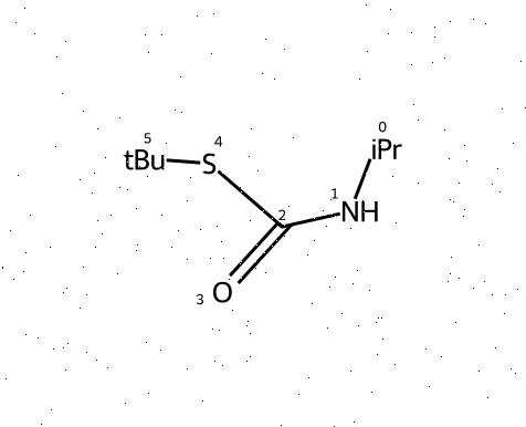 CC(C)NC(=O)SC(C)(C)C